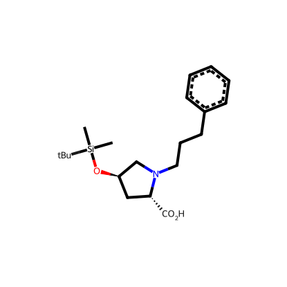 CC(C)(C)[Si](C)(C)O[C@@H]1C[C@@H](C(=O)O)N(CCCc2ccccc2)C1